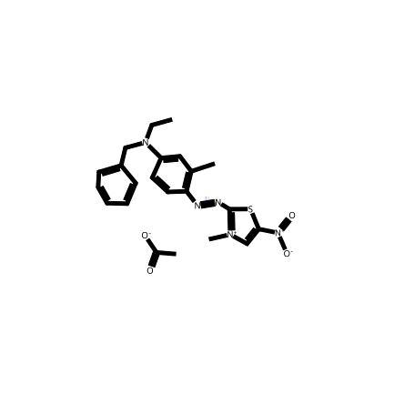 CC(=O)[O-].CCN(Cc1ccccc1)c1ccc(/N=N/c2sc([N+](=O)[O-])c[n+]2C)c(C)c1